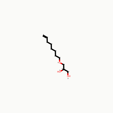 C=CCCCCCCOCC(O)CO